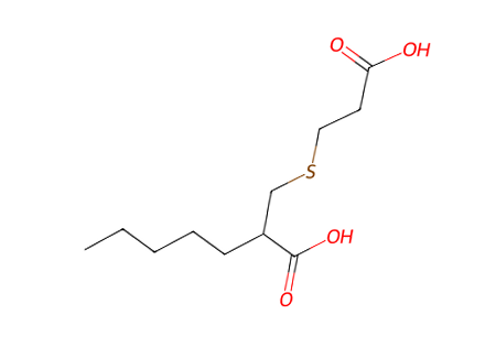 CCCCCC(CSCCC(=O)O)C(=O)O